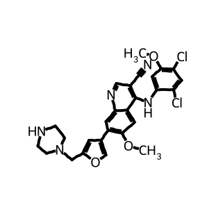 COc1cc(Nc2c(C#N)cnc3cc(-c4coc(CN5CCNCC5)c4)c(OC)cc23)c(Cl)cc1Cl